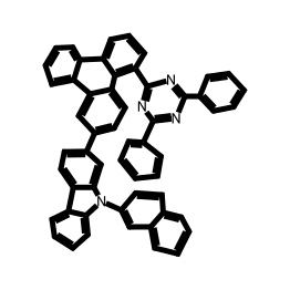 c1ccc(-c2nc(-c3ccccc3)nc(-c3cccc4c5ccccc5c5cc(-c6ccc7c8ccccc8n(-c8ccc9ccccc9c8)c7c6)ccc5c34)n2)cc1